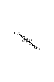 CCCCOC(=O)/N=N/C(=O)OCCCC